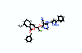 CC1=CC(C(=O)OCc2ccccc2)/C(=C\CC(CF)Oc2ncnc(Nc3cc(-c4ccccc4)[nH]n3)c2C#N)CCC1